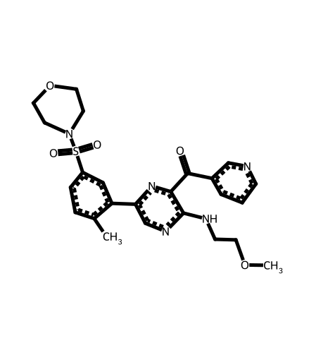 COCCNc1ncc(-c2cc(S(=O)(=O)N3CCOCC3)ccc2C)nc1C(=O)c1cccnc1